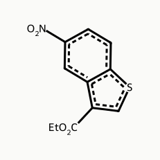 CCOC(=O)c1csc2ccc([N+](=O)[O-])cc12